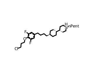 CCCCC[Si@H]1CC[C@H]([C@H]2CC[C@H](CCCCc3cc(F)c(OCCCCl)c(F)c3)CC2)CC1